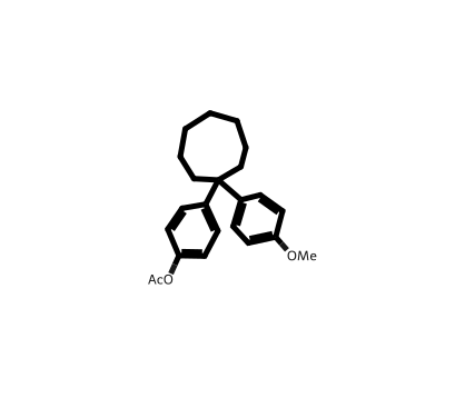 COc1ccc(C2(c3ccc(OC(C)=O)cc3)CCCCCCC2)cc1